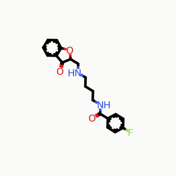 O=C(NCCCCNCC1Oc2ccccc2C1=O)c1ccc(F)cc1